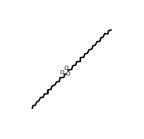 CCCCCCCCC=CCCCCCCCC(=O)OC(=O)CCCCCCCCCCCCCCCCCCCCC